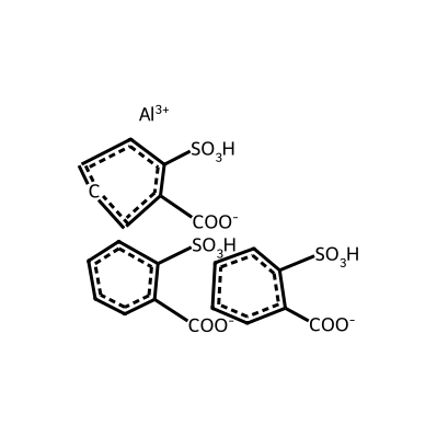 O=C([O-])c1ccccc1S(=O)(=O)O.O=C([O-])c1ccccc1S(=O)(=O)O.O=C([O-])c1ccccc1S(=O)(=O)O.[Al+3]